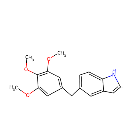 COc1cc(Cc2ccc3[nH][c]cc3c2)cc(OC)c1OC